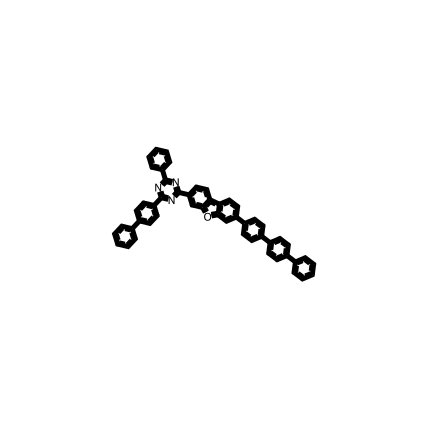 c1ccc(-c2ccc(-c3ccc(-c4ccc5c(c4)oc4cc(-c6nc(-c7ccccc7)nc(-c7ccc(-c8ccccc8)cc7)n6)ccc45)cc3)cc2)cc1